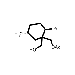 CC(=O)OCC1(CO)C[C@H](C)CC[C@H]1C(C)C